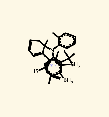 BC/C(B)=C(C)\C(C1=CC=CCC1(C)N(c1ccccc1C)c1ccccc1C(C)(C)C)=C(\S)C(=C)C